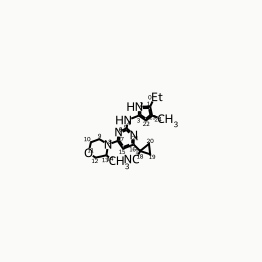 CCc1[nH]c(Nc2nc(N3CCOCC3C)cc(C3(C#N)CC3)n2)cc1C